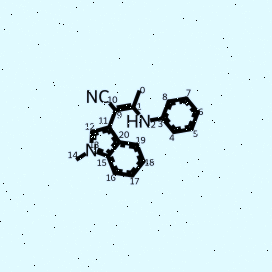 CC(Nc1ccccc1)=C(C#N)c1cn(C)c2ccccc12